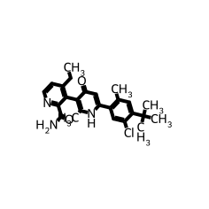 CCc1ccnc(C(N)=O)c1-c1c(C)[nH]c(-c2cc(Cl)c(C(C)(C)C)cc2C)cc1=O